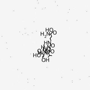 CC(C)C(N)C(=O)O.CCCNC(CCO)C(=O)O.NC(=O)NCCCC(N)C(=O)O